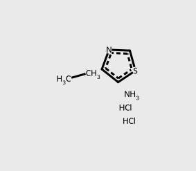 CC.Cl.Cl.N.c1cscn1